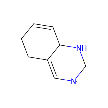 C1=CC2NC[N]C=C2CC1